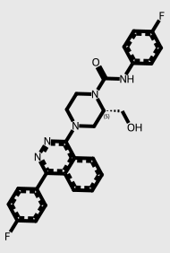 O=C(Nc1ccc(F)cc1)N1CCN(c2nnc(-c3ccc(F)cc3)c3ccccc23)C[C@H]1CO